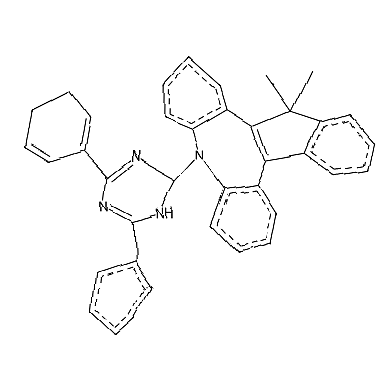 CC1(C)C2=C(c3ccccc3N(C3N=C(C4=CCCC=C4)N=C(c4ccccc4)N3)c3ccccc32)c2ccccc21